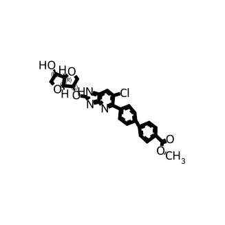 COC(=O)c1ccc(-c2ccc(-c3nc4nc(O[C@@H]5CO[C@H]6[C@@H]5OC[C@H]6O)[nH]c4cc3Cl)cc2)cc1